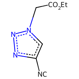 [C-]#[N+]c1cn(CC(=O)OCC)nn1